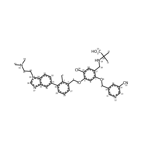 Cc1c(COc2cc(OCc3cncc(C#N)c3)c(CNC(C)(C)C(=O)O)cc2Cl)cccc1-c1ccc2c(c1)ncn2CCN(C)C